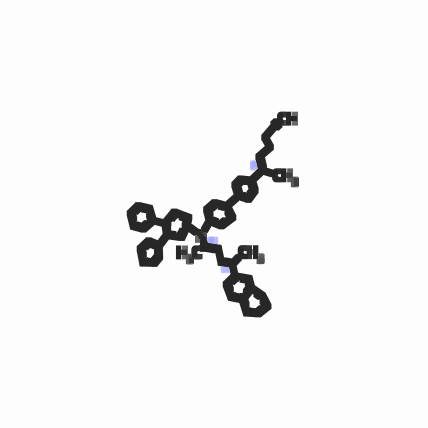 C#CCC/C=C(\C)c1ccc(-c2ccc(N(/C(C)=C/C=C(\C)c3ccc4ccccc4c3)c3ccc(-c4ccccc4)c(-c4ccccc4)c3)cc2)cc1